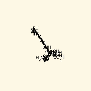 Nc1cc(I)c2ccc[n+](Cc3ccc(O[C@@H]4O[C@H](C(=O)O)[C@@H](O)[C@H](O)[C@H]4O)c(NC(=O)CCNC(=O)CCOCCOCCOCCC(=O)Oc4c(F)c(F)c(F)c(F)c4F)c3)c2c1O